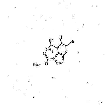 CC(Br)c1c(Cl)c(Br)cc2ccn(C(=O)OC(C)(C)C)c12